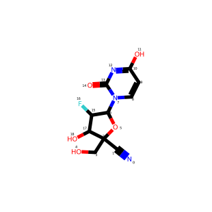 N#CC1(CO)OC(n2ccc(O)nc2=O)C(F)C1O